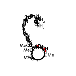 CO[C@H]1C[C@@H]2CC[C@@H](C)[C@@](O)(O2)C(=O)C(=O)N2CCCC[C@H]2C(=O)O[C@H]([C@H](C)C[C@@H]2CC[C@@H](OC(=O)N3CCc4nc(N5CCN(CCOCCN6CCN(c7ncc(C(=O)N8CCc9cc(Cn%10nc(-c%11ccc%12oc(N)nc%12c%11)c%11c(N)ncnc%11%10)ccc9C8)cn7)CC6)CC5)ncc4C3)[C@H](OC)C2)C[C@@H](OC)[C@H](C)/C=C(\C)[C@@H](O)[C@@H](OC)C(=O)[C@H](C)C[C@H](C)/C=C/C=C/C=C/1C